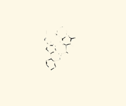 Cn1cc(-c2ccccc2CNC(=O)c2nc3n(c(=O)c2O)CCOC3(C)C)cn1